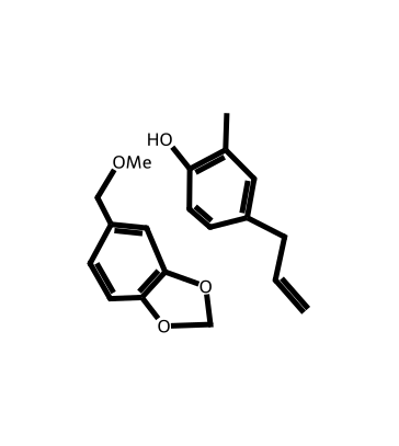 C=CCc1ccc(O)c(C)c1.COCc1ccc2c(c1)OCO2